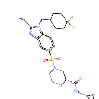 CC(C)(C)c1nc2cc(S(=O)(=O)N3CCO[C@@H](C(=O)NC4CC4)C3)ccc2n1CC1CCC(F)(F)CC1